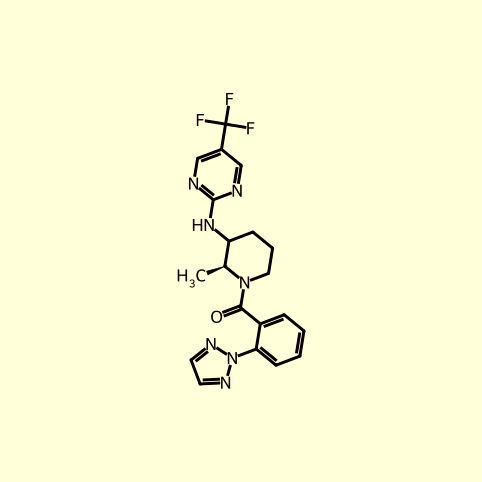 C[C@H]1C(Nc2ncc(C(F)(F)F)cn2)CCCN1C(=O)c1ccccc1-n1nccn1